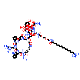 CCCC[C@H](NC(=O)[C@H](CN(CC(=O)O)CC(=O)O)NC(=O)[C@H](Cc1ccc(O)cc1)NC(=O)[C@H](CCC(N)=O)NC(=O)[C@H](CO)NC(=O)CNC(=O)COCCOCCNC(=O)CCCCCCCCCCCCCCCc1nnn[nH]1)C(=O)N[C@H]1CCC(=O)NCCCC[C@@H](C(N)=O)NC(=O)[C@H](Cc2c[nH]c3ccccc23)NC(=O)[C@H](CCCNC(=N)N)NC(=O)[C@@H](Cc2ccccc2)NC(=O)[C@@H]2C[C@@H](O)CN2C1=O